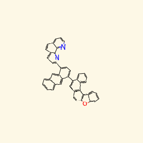 c1ccc2cc3c(-c4cc5ccc6oc7ccccc7c6c5c5ccccc45)ccc(-c4ccc5ccc6cccnc6c5n4)c3cc2c1